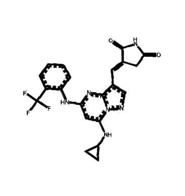 O=C1C/C(=C\c2cnn3c(NC4CC4)cc(Nc4ccccc4C(F)(F)F)nc23)C(=O)N1